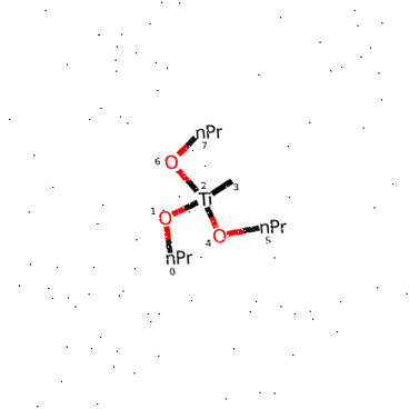 CCC[O][Ti]([CH3])([O]CCC)[O]CCC